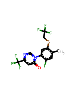 Cc1cc(F)c(-n2cnc(C(F)(F)F)cc2=O)cc1SCC(F)(F)F